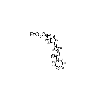 CCOC(=O)N1CC2(CCC(N3CC(OC(=O)N4CCCOCC4)C3)C2)C1